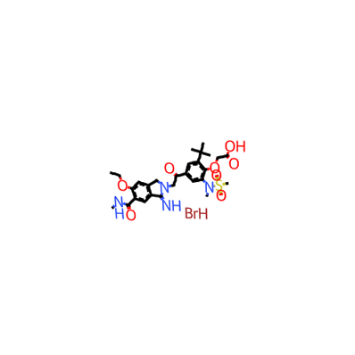 Br.CCOc1cc2c(cc1C(=O)NC)C(=N)N(CC(=O)c1cc(N(C)S(C)(=O)=O)c(OCC(=O)O)c(C(C)(C)C)c1)C2